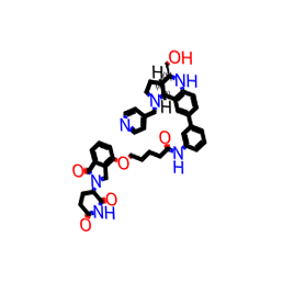 O=C1CCC(N2Cc3c(OCCCCC(=O)Nc4cccc(-c5ccc6c(c5)[C@H]5[C@H](CCN5Cc5ccncc5)[C@@H](CO)N6)c4)cccc3C2=O)C(=O)N1